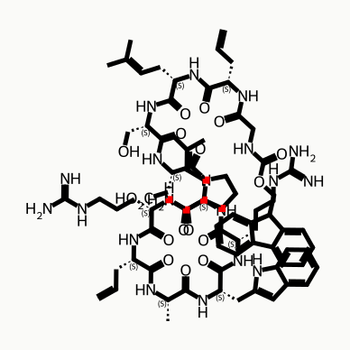 C=CC[C@H](NC(=O)CNC(=O)OCC1c2ccccc2-c2ccccc21)C(=O)N[C@@H](CC=C(C)C)C(=O)N[C@@H](CO)C(=O)N[C@@H](CC(=O)O)C(=O)N1CCCC1C(=O)N[C@@H](CCCNC(=N)N)C(=O)N[C@@H](CC=C)C(=O)N[C@@H](C)C(=O)N[C@@H](Cc1cc2ccccc2[nH]1)C(=O)N[C@@H](CCCNC(=N)N)C(=O)N[C@@H](CC=C(C)C)C(N)=O